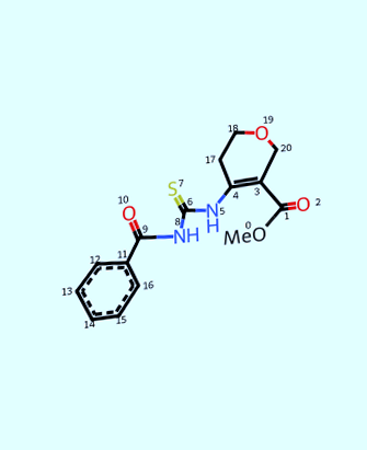 COC(=O)C1=C(NC(=S)NC(=O)c2ccccc2)CCOC1